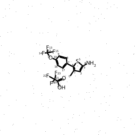 Cc1cc(N)sc1-c1ccc(OC(F)(F)F)cc1.O=C(O)C(F)(F)F